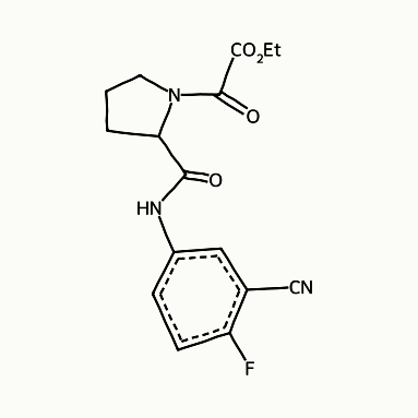 CCOC(=O)C(=O)N1CCCC1C(=O)Nc1ccc(F)c(C#N)c1